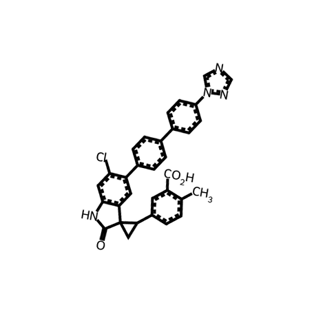 Cc1ccc(C2CC23C(=O)Nc2cc(Cl)c(-c4ccc(-c5ccc(-n6cncn6)cc5)cc4)cc23)cc1C(=O)O